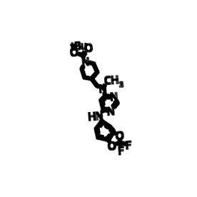 CN(CC1CCN(C(=O)OC(C)(C)C)CC1)c1cc(Nc2ccc3c(c2)OC(F)(F)O3)ncn1